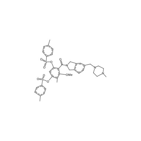 COc1c(C)c(OS(=O)(=O)c2ccc(C)cc2)cc(OS(=O)(=O)c2ccc(C)cc2)c1C(=O)N1Cc2ccc(CN3CCN(C)CC3)cc2C1